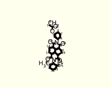 C=CC(=O)Oc1cccc(N2C(=O)c3ccc4c5c(ccc(c35)C2=O)C(=O)N(c2c(C)cccc2CC)C4=O)c1